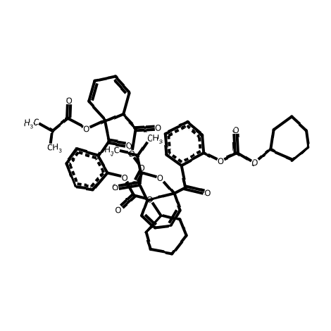 CC(C)C(=O)OC1(C(=O)c2ccccc2OC(=O)OC2CCCCC2)C=CC=CC1C(=O)OOC(=O)C1C=CC=CC1(OC(=O)C(C)C)C(=O)c1ccccc1OC(=O)OC1CCCCC1